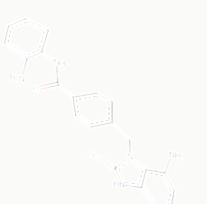 Nc1ccccc1NC(=O)c1ccc(Cn2c(=O)[nH]c3cccc(N)c32)cc1